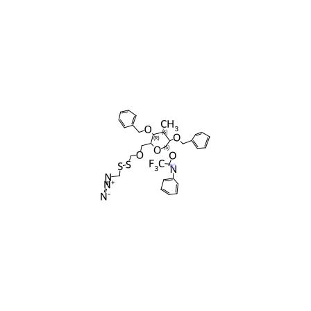 C[C@@H]1C(OCc2ccccc2)[C@H](O/C(=N/c2ccccc2)C(F)(F)F)OC(COCSSCN=[N+]=[N-])[C@@H]1OCc1ccccc1